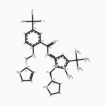 Cn1c(C(C)(C)C)c/c(=N\C(=O)c2cc(C(F)(F)F)ccc2OC[C@@H]2C=CCO2)n1C[C@H]1CCCO1